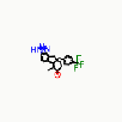 CC1=C2c3ccc4[nH]nnc4c3CC2(Cc2ccc(C(F)(F)F)cc2)CCC1=O